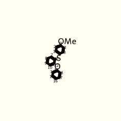 COc1ccc(Sc2ccccc2Oc2ccccc2)cc1